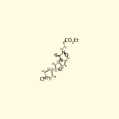 CCOC(=O)CCCN1OCc2cc3oc(-c4ccc(Cl)cc4)cc3n2C1=S